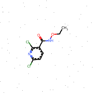 CCONC(=O)c1ccc(Cl)nc1Cl